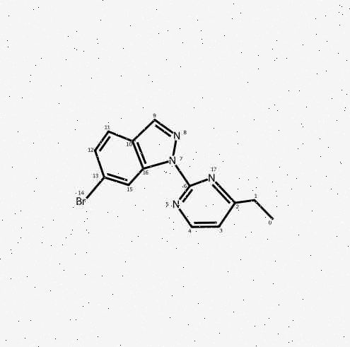 CCc1ccnc(-n2ncc3ccc(Br)cc32)n1